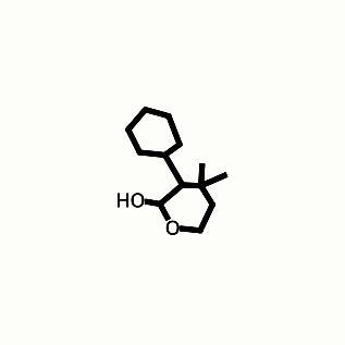 CC1(C)CCOC(O)C1C1CCCCC1